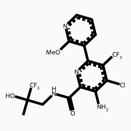 COc1ncccc1-c1nc(C(=O)NCC(C)(O)C(F)(F)F)c(N)c(Cl)c1C(F)(F)F